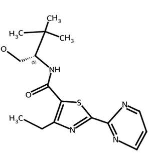 CCc1nc(-c2ncccn2)sc1C(=O)N[C@H](CO)C(C)(C)C